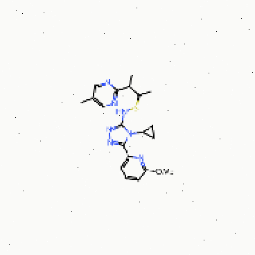 COc1cccc(-c2nnc(NSC(C)C(C)c3ncc(C)cn3)n2C2CC2)n1